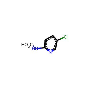 O=C(O)Nc1ccc(Cl)cn1